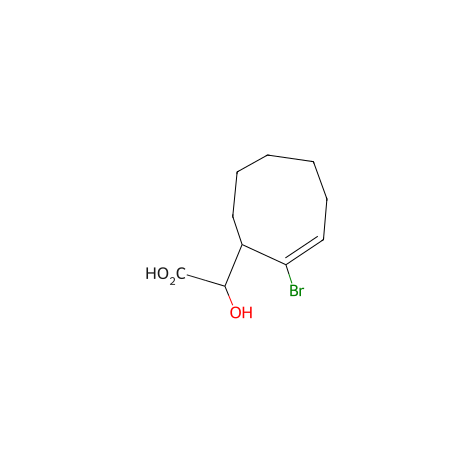 O=C(O)C(O)C1CCCCCC=C1Br